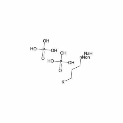 CCCCCCCCCCC[CH2][K].O=P(O)(O)O.O=P(O)(O)O.[NaH]